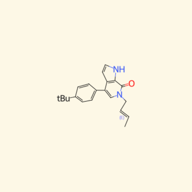 C/C=C/Cn1cc(-c2ccc(C(C)(C)C)cc2)c2cc[nH]c2c1=O